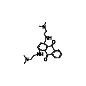 CN(C)CCNc1ccc(NCCN(C)C)c2c1C(=O)c1ccccc1C2=O